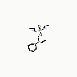 C=CC(COP(=O)(/C=C/C)/C=C/C)c1ccccc1